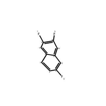 Fc1ccc2cc(F)c(F)cc2c1